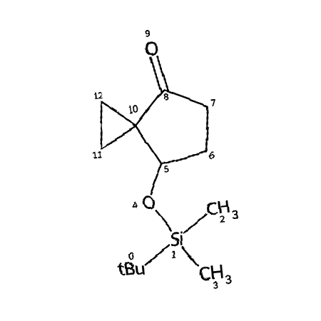 CC(C)(C)[Si](C)(C)OC1CCC(=O)C12CC2